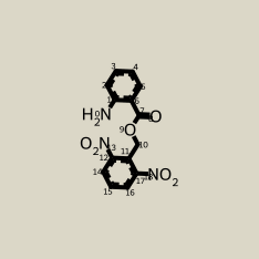 Nc1ccccc1C(=O)OCc1c([N+](=O)[O-])cccc1[N+](=O)[O-]